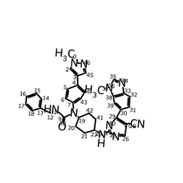 Cn1cc(-c2ccc(N(C(=O)NCc3ccccc3)[C@H]3CC[C@H](Nc4ncc(C#N)c(-c5ccc6ncn(C)c6c5)n4)CC3)cc2)cn1